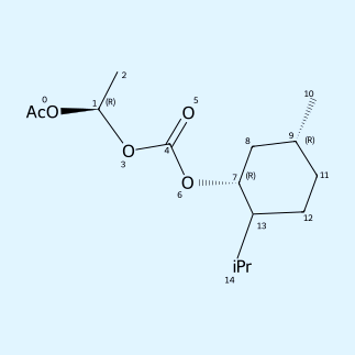 CC(=O)O[C@@H](C)OC(=O)O[C@@H]1C[C@H](C)CCC1C(C)C